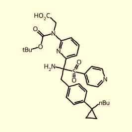 CCCCC1(c2ccc(CC(N)(c3cccc(N(CC(=O)O)C(=O)OC(C)(C)C)n3)S(=O)(=O)c3ccncc3)cc2)CC1